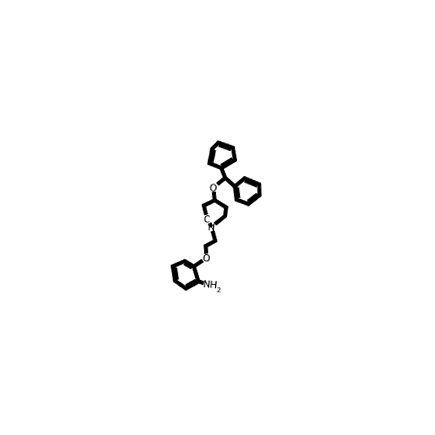 Nc1ccccc1OCCN1CCC(OC(c2ccccc2)c2ccccc2)CC1